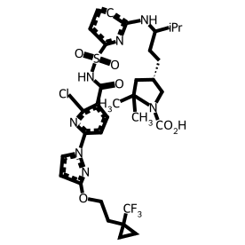 CC(C)C(CC[C@@H]1CN(C(=O)O)C(C)(C)C1)Nc1cccc(S(=O)(=O)NC(=O)c2ccc(-n3ccc(OCCC4(C(F)(F)F)CC4)n3)nc2Cl)n1